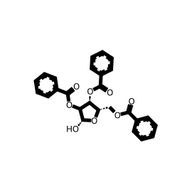 O=C(OC[C@@H]1O[C@H](O)C(OC(=O)c2ccccc2)[C@@H]1OC(=O)c1ccccc1)c1ccccc1